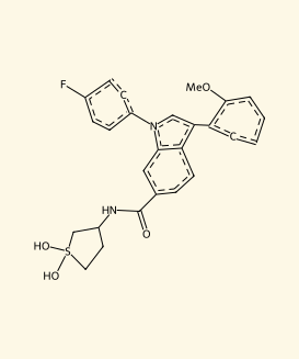 COc1ccccc1-c1cn(-c2ccc(F)cc2)c2cc(C(=O)NC3CCS(O)(O)C3)ccc12